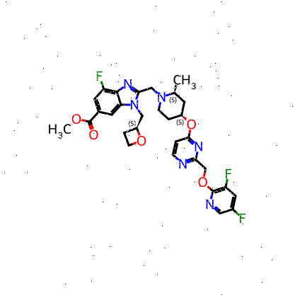 COC(=O)c1cc(F)c2nc(CN3CC[C@H](Oc4ccnc(COc5ncc(F)cc5F)n4)C[C@@H]3C)n(C[C@@H]3CCO3)c2c1